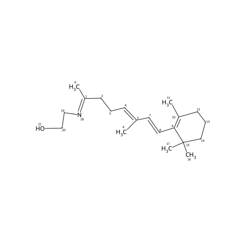 CC(CC/C=C(C)/C=C/C1=C(C)CCCC1(C)C)=NCCO